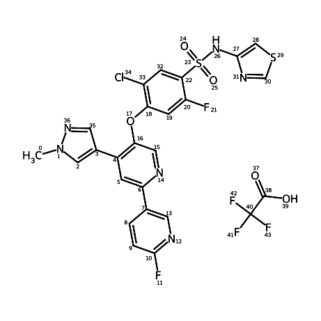 Cn1cc(-c2cc(-c3ccc(F)nc3)ncc2Oc2cc(F)c(S(=O)(=O)Nc3cscn3)cc2Cl)cn1.O=C(O)C(F)(F)F